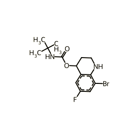 CC(C)(C)NC(=O)OC1CCNc2c(Br)cc(F)cc21